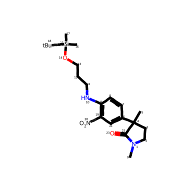 CN1CCC(C)(c2ccc(NCCCO[Si](C)(C)C(C)(C)C)c([N+](=O)[O-])c2)C1=O